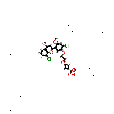 COc1cc(Cl)c(OCCO[C@H]2C[C@@H](C(=O)O)C2)cc1-c1cc(=O)c2cccc(Cl)c2o1